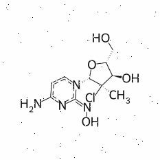 C[C@@]1(Cl)[C@H](O)[C@@H](CO)O[C@H]1n1ccc(N)n/c1=N\O